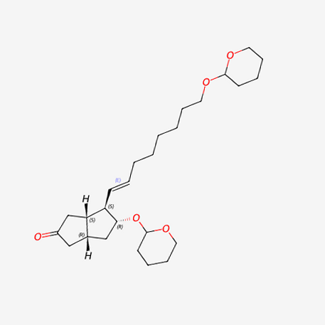 O=C1C[C@H]2C[C@@H](OC3CCCCO3)[C@H](/C=C/CCCCCCOC3CCCCO3)[C@H]2C1